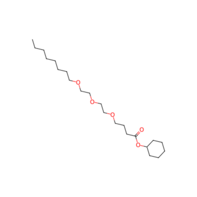 CCCCCCCCOCCOCCOCCCC(=O)OC1CCCCC1